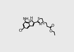 CCOC(=O)CC[C@@H]1CSC(c2cc3cc(Cl)cc(N)c3[nH]2)=N1